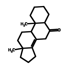 CC12CCCC1=C1CC(=O)C3CCCCC3(C)C1CC2